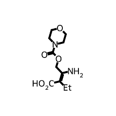 CCC(C(=O)O)=C(N)COC(=O)N1CCOCC1